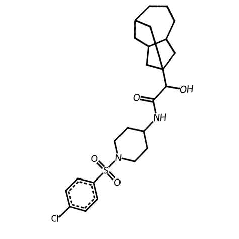 O=C(NC1CCN(S(=O)(=O)c2ccc(Cl)cc2)CC1)C(O)C12CC3CCCC(C1)C(C3)C2